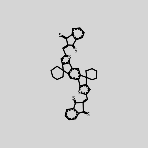 S=C1C(=Cc2cc3c(s2)-c2cc4c(cc2C32CCCCC2)-c2sc(C=C3C(=S)c5ccccc5C3=S)cc2C42CCCCC2)C(=S)c2ccccc21